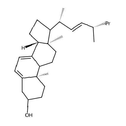 CC(C)[C@H](C)/C=C/[C@@H](C)C1CC[C@H]2C3=CC=C4CC(O)CC[C@]4(C)C3CC[C@]12C